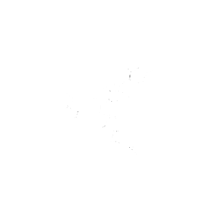 CCN(C)C(=O)[C@H]1CC[C@H](NC(=O)C(=O)Nc2ccc(Cl)cn2)[C@H](NC(=O)c2nc3c(s2)CN(C)C3)C1